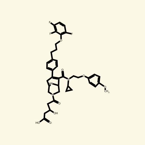 COc1ccc(OCCN(C(=O)C2=C(c3ccc(CCCOc4c(F)ccc(F)c4F)cc3)CC3CN(C(=O)CC(O)CC(=O)O)CC2N3)C2CC2)cc1